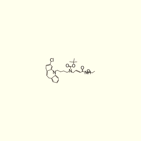 CCONC(=O)/C=C/CN(CCCCN1C2=CC(Cl)=CCC2=CCc2ccccc21)C(=O)OC(C)(C)C